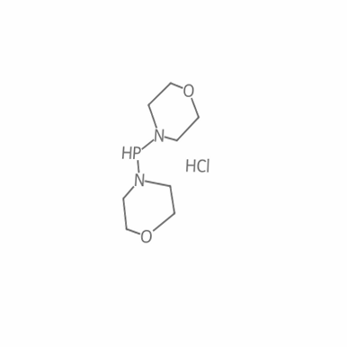 C1CN(PN2CCOCC2)CCO1.Cl